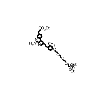 CCOC(=O)CCc1ccc2c(c1)nc(N)c1ncc(CCc3ccc(OCCOCCOCCOCCP(=O)(OCC)OCC)cc3C)cc12